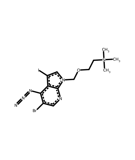 C[Si](C)(C)CCOCn1cc(I)c2c(N=[N+]=[N-])c(Br)cnc21